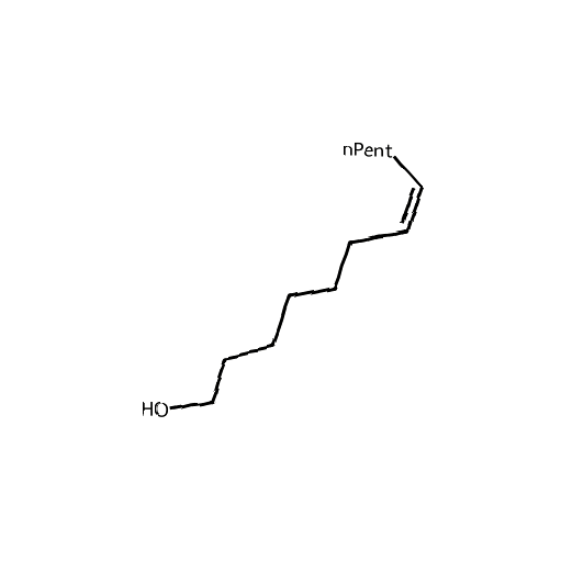 CCCCC/C=C\CCCCCCO